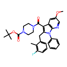 COc1cnc2c(c1)c(C(=O)N1CCN(C(=O)OC(C)(C)C)CC1)c(Cc1cccc(F)c1C)n2-c1ccccc1